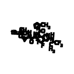 CC(Nc1cc(C(F)F)c(-c2sc(C(=O)NC3C[C@H]3O[Si](C)(C)C(C)(C)C)nc2C(=O)N2CCC[C@@H]2C)cn1)C(F)(F)F